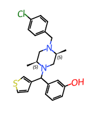 C[C@H]1CN(C(c2ccsc2)c2cccc(O)c2)[C@@H](C)CN1Cc1ccc(Cl)cc1